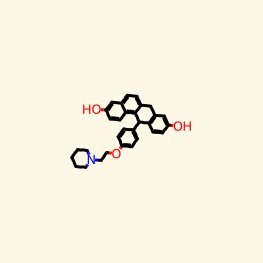 Oc1ccc2c(c1)Cc1ccc3cc(O)ccc3c1C2c1ccc(OCCN2CCCCC2)cc1